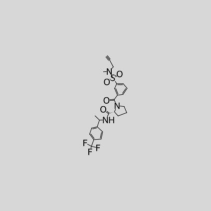 C#CCN(C)S(=O)(=O)c1cccc(C(=O)N2CCC[C@@H]2C(=O)NC(C)c2ccc(C(F)(F)F)cc2)c1